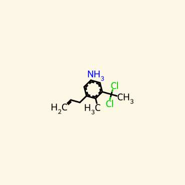 C=CCc1cccc(C(C)(Cl)Cl)c1C.N